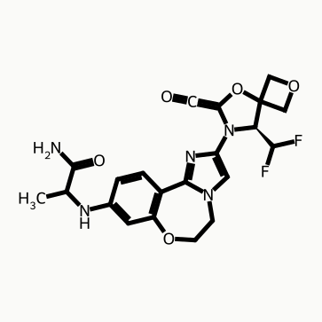 CC(Nc1ccc2c(c1)OCCn1cc(N3C(=C=O)OC4(COC4)[C@H]3C(F)F)nc1-2)C(N)=O